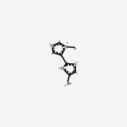 CC(C)c1csc(-c2cncn2C)n1